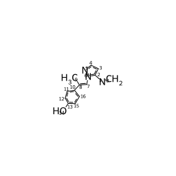 C=Nc1ccnn1/C=C(\C)c1ccc(O)cc1